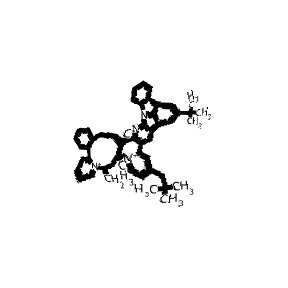 C=C1CC2(C)[n+]3ccc(CC(C)(C)C)cc3-c3cc4c5cc(C(C)(C)C)cc6c7ccccc7n(c4nc3C2(C)CCc2ccccc2-c2cccc[n+]21)c65